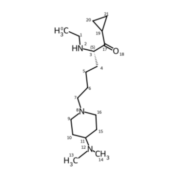 CCN[C@@H](CCCCN1CCC(N(C)C)CC1)C(=O)C1CC1